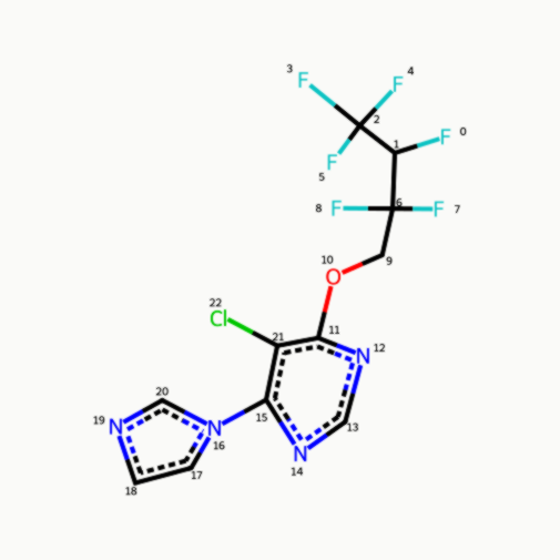 FC(C(F)(F)F)C(F)(F)COc1ncnc(-n2ccnc2)c1Cl